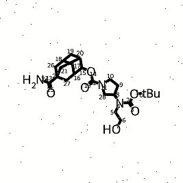 CC(C)(C)OC(=O)N(CCO)C1CCN(C(=O)OC2C3CC4CC2CC(C(N)=O)(C4)C3)C1